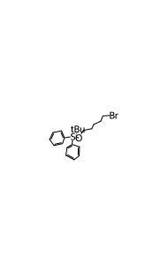 CC(C)(C)[Si](OCCCCCBr)(c1ccccc1)c1ccccc1